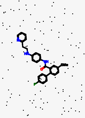 COc1ccc(-c2ccc(F)cc2)c(C(=O)Nc2ccc(NCCc3ccccn3)cc2)c1